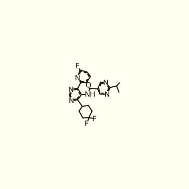 CC(C)c1ncc(C(=O)Nc2c(-c3cccc(F)n3)ncnc2C2CCC(F)(F)CC2)cn1